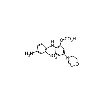 Nc1ccc(Nc2ccc(N3CCOCC3)cc2OC(=O)O)c([N+](=O)[O-])c1